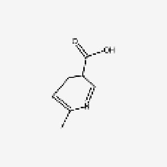 CC1=CCC(C(=O)O)C=N1